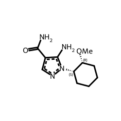 CO[C@@H]1CCCC[C@@H]1n1ncc(C(N)=O)c1N